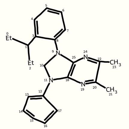 CCC(CC)c1ccccc1N1CN(c2ccccc2)c2nc(C)c(C)nc21